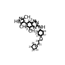 CC1=NBC(C)=C1c1cc(C)c2nc(Nc3ccc(OCCN4CCCC4)cc3)nnc2c1